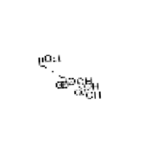 C=O.CCCCCCCC/C=C\CCCCCCCC(=O)OC[C@@H](O)[C@H]1OC[C@H](O)[C@H]1O